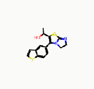 CC(O)C1=C(c2ccc3sccc3c2)N2CCN=C2S1